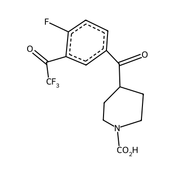 O=C(c1ccc(F)c(C(=O)C(F)(F)F)c1)C1CCN(C(=O)O)CC1